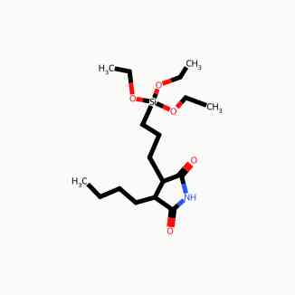 CCCCC1C(=O)NC(=O)C1CCC[Si](OCC)(OCC)OCC